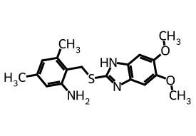 COc1cc2nc(SCc3c(C)cc(C)cc3N)[nH]c2cc1OC